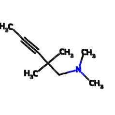 CC#CC(C)(C)CN(C)C